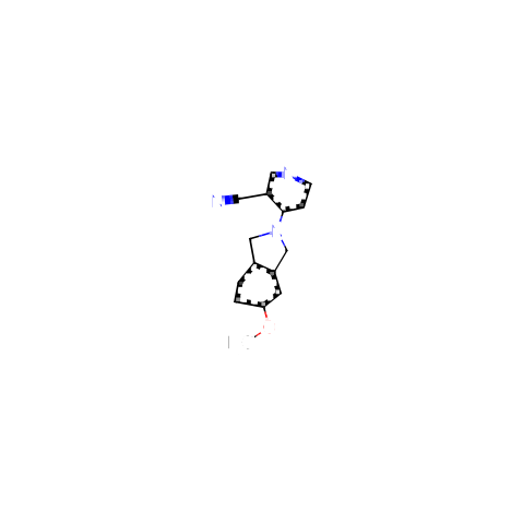 COc1ccc2c(c1)CN(c1ccncc1C#N)C2